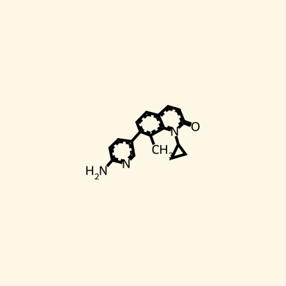 Cc1c(-c2ccc(N)nc2)ccc2ccc(=O)n(C3CC3)c12